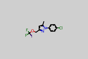 Cc1cc(COC(F)(F)I)nn1-c1ccc(Cl)cc1